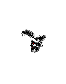 CCc1cc(C)cc(CC)c1-c1c(OC(=O)C(C)(C)C)n2n(c1=O)CCOCC2.COc1cc(OC)nc(NC(=O)NS(=O)(=O)N(C)S(C)(=O)=O)n1.COc1ccccc1C(=O)NS(=O)(=O)c1ccc(C(=O)NC2CC2)cc1.Cc1c(C(=O)c2cnn(C)c2O)ccc(S(C)(=O)=O)c1C1=NOCC1